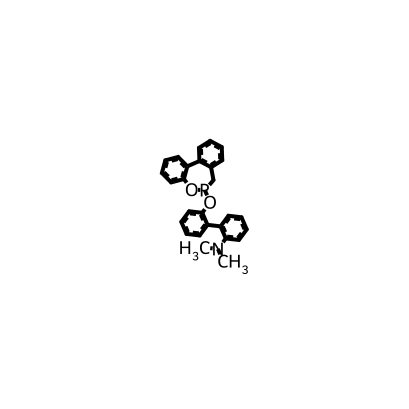 CN(C)c1ccccc1-c1ccccc1OP1Cc2ccccc2-c2ccccc2O1